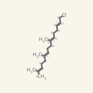 CC(C)=CCC/C(C)=C/CC/C(C)=C/CC/C=C/CCl